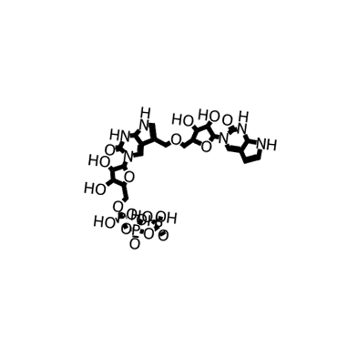 O=C1NC2NC=CC2=CN1C1OC(COCC2=CNC3NC(=O)N(C4OC(COP(=O)(O)OP(=O)(O)OP(=O)(O)O)C(O)C4O)C=C23)C(O)C1O